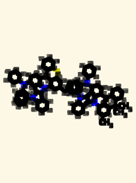 Cc1cc2c3c(c1)C(C)(C)c1ccccc1B3c1ccc(N(c3ccccc3)c3ccc(Cc4cc5c6c(c4)-n4c7c(ccc(N(c8ccccc8)c8ccccc8)c7c7c4c4ccccc4n7-c4ccccc4)B6c4ccccc4S5)cc3)c3c1n-2c1c2ccccc2n(-c2ccccc2)c31